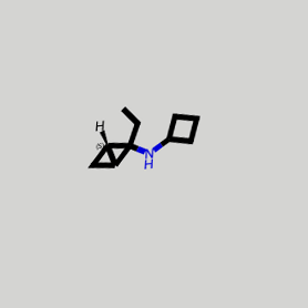 CCC1(NC2CCC2)C2C[C@@H]21